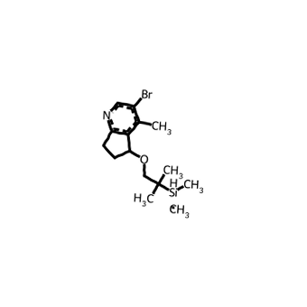 Cc1c(Br)cnc2c1C(OCC(C)(C)[SiH](C)C)CC2